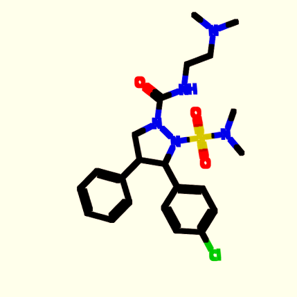 CN(C)CCNC(=O)N1CC(c2ccccc2)C(c2ccc(Cl)cc2)N1S(=O)(=O)N(C)C